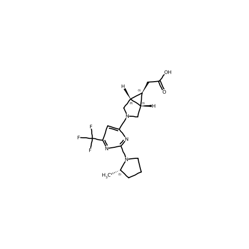 C[C@H]1CCCN1c1nc(N2C[C@@H]3[C@@H](CC(=O)O)[C@@H]3C2)cc(C(F)(F)F)n1